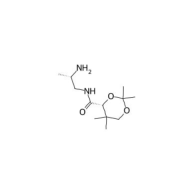 C[C@H](N)CNC(=O)[C@@H]1OC(C)(C)OCC1(C)C